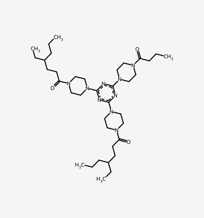 CCCC(=O)N1CCN(c2nc(N3CCN(C(=O)CCC(CC)CCC)CC3)nc(N3CCN(C(=O)CCC(CC)CCC)CC3)n2)CC1